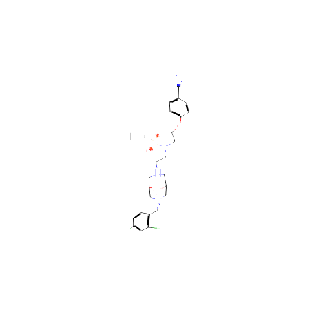 CS(=O)(=O)N(CCOc1ccc(C#N)cc1)CCN1CC2CN(Cc3ccc(F)cc3F)CC(C1)O2